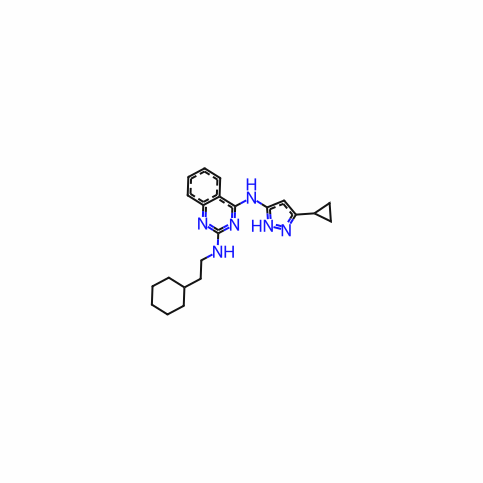 c1ccc2c(Nc3cc(C4CC4)n[nH]3)nc(NCCC3CCCCC3)nc2c1